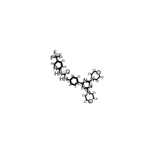 O=C(Nc1ccc(-c2nc(N3CCOCC3)nc(N3CCOCC3)n2)cc1)Nc1ccc(C(F)(F)F)cn1